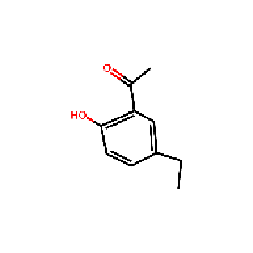 CCc1ccc(O)c(C(C)=O)c1